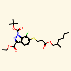 CCCCC(C)COC(=O)CCSc1ccc2c(C(=O)OCC)nn(C(=O)OC(C)(C)C)c2c1Cl